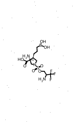 NC(COS(=O)(=O)N1C[C@H](CCCB(O)O)[C@](N)(C(=O)O)C1)C(F)(F)F